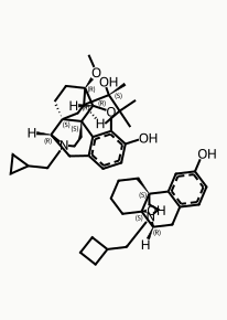 CO[C@]12CC[C@@]3(C[C@@H]1[C@](C)(O)C(C)(C)C)[C@H]1Cc4ccc(O)c5c4[C@@]3(CCN1CC1CC1)[C@H]2O5.Oc1ccc2c(c1)[C@@]13CCCC[C@@]1(O)[C@@H](C2)N(CC1CCC1)CC3